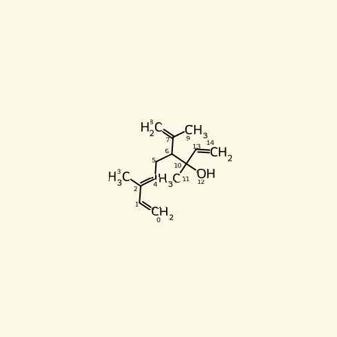 C=CC(C)=CCC(C(=C)C)C(C)(O)C=C